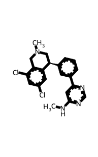 CNc1cc(-c2cccc([C@@H]3CN(C)Cc4c(Cl)cc(Cl)cc43)c2)ncn1